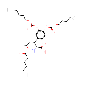 CCCCCOC(=O)Oc1ccc(C(CC(C)OC(=O)CCCCC)[C@H](N)C(=O)O)cc1OC(=O)OCCCCC